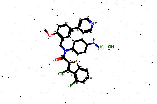 CNC1CCC(N(Cc2cc(-c3ccncc3)ccc2OC)C(=O)c2sc3cccc(F)c3c2Cl)CC1.Cl.Cl